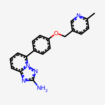 Cc1ccc(COc2ccc(-c3cccc4nc(N)nn34)cc2)cn1